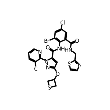 O=C(NCc1nccs1)c1cc(Cl)cc(Br)c1NC(=O)c1cc(OC2CSC2)nn1-c1ncccc1Cl